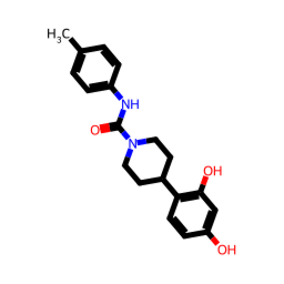 Cc1ccc(NC(=O)N2CCC(c3ccc(O)cc3O)CC2)cc1